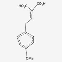 COc1ccc(CC=C(C(=O)O)C(=O)O)cc1